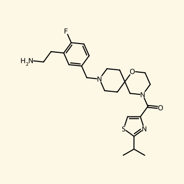 CC(C)c1nc(C(=O)N2CCOC3(CCN(Cc4ccc(F)c(CCN)c4)CC3)C2)cs1